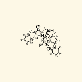 NC[C@H](NS(=O)(=O)c1cccc(N2CCCCC2=O)c1OC(F)F)C(=O)N1Cc2ccccc2C1